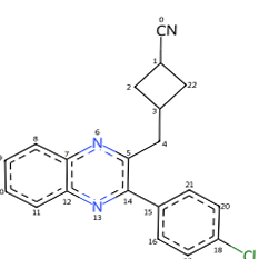 N#CC1CC(Cc2nc3ccccc3nc2-c2ccc(Cl)cc2)C1